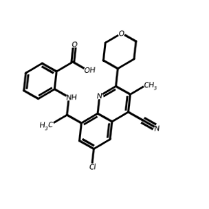 Cc1c(C2CCOCC2)nc2c(C(C)Nc3ccccc3C(=O)O)cc(Cl)cc2c1C#N